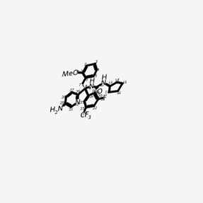 COc1ccccc1C[C@](NC(=O)NC1CCCC1)(c1cc(F)cc(C(F)(F)F)c1)c1ccc(N)cn1